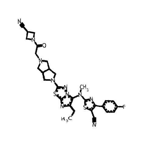 CCc1nc2sc(N3CC4CN(CC(=O)N5CC(C#N)C5)CC4C3)nn2c1N(C)c1nc(-c2ccc(F)cc2)c(C#N)s1